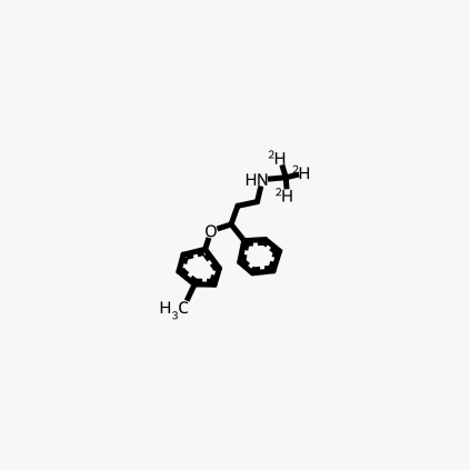 [2H]C([2H])([2H])NCCC(Oc1ccc(C)cc1)c1ccccc1